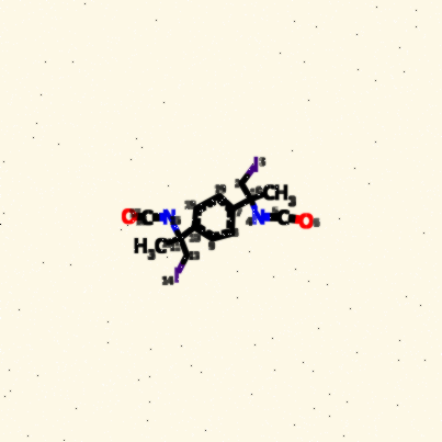 CC(CI)(N=C=O)c1ccc(C(C)(CI)N=C=O)cc1